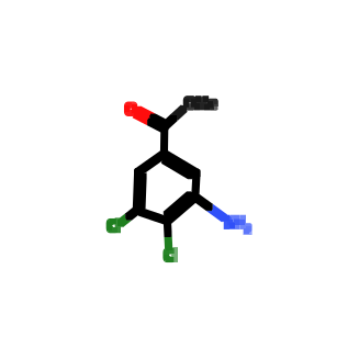 COC(=O)c1cc(N)c(Cl)c(Cl)c1